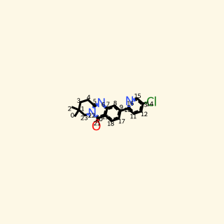 CC1(C)CCc2nc3cc(-c4ccc(Cl)cn4)ccc3c(=O)n2C1